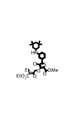 CCOC(=O)N(CC)C(=O)COc1c(C(=O)OC)sc(-c2cccc(NC3CC(C)(C)CC(C)(C)C3)c2)c1Cl